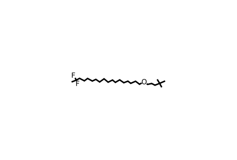 CC(C)(C)CCCOCCCCCCCCCCCCCCCCC(C)(F)F